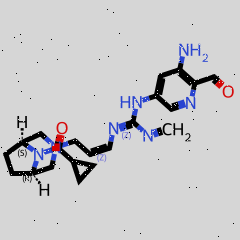 C=N/C(=N\C=C/CN1C[C@H]2CC[C@@H](C1)N2C(=O)C1CC1)Nc1cnc(C=O)c(N)c1